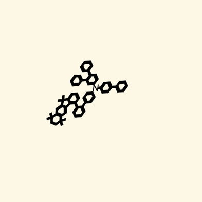 CC1(C)CCC(C)(C)c2cc3c(cc21)-c1c(-c2ccccc2-c2ccc(N(c4ccc(-c5ccccc5)cc4)c4ccc(-c5ccccc5)c(-c5ccccc5)c4)cc2)cccc1C3(C)C